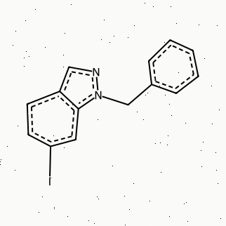 Ic1ccc2cnn(Cc3ccccc3)c2c1